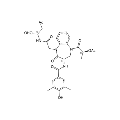 CC(=O)C[C@@H](C=O)NC(=O)CN1C(=O)[C@@H](NC(=O)c2cc(C)c(O)c(C)c2)CN(C(=O)[C@H](C)OC(C)=O)c2ccccc21